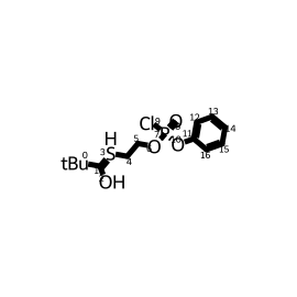 CC(C)(C)C(O)=[SH]CCOP(=O)(Cl)Oc1ccccc1